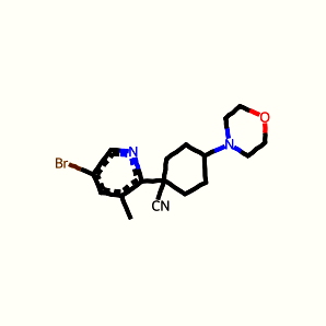 Cc1cc(Br)cnc1C1(C#N)CCC(N2CCOCC2)CC1